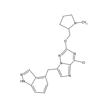 CN1CCCC1COc1nc(Cl)c2ncc(Cc3cccc4[nH]ncc34)n2n1